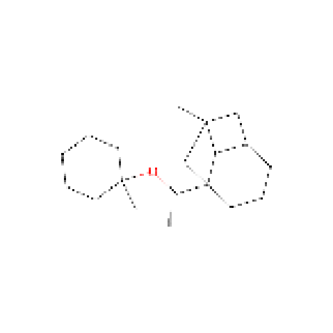 C[C@H](OC1(C)CCCCC1)C12CCCC3CC(C)(C1)C32